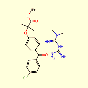 CC(C)OC(=O)C(C)(C)Oc1ccc(C(=O)c2ccc(Cl)cc2)cc1.CN(C)C(=N)NC(=N)N